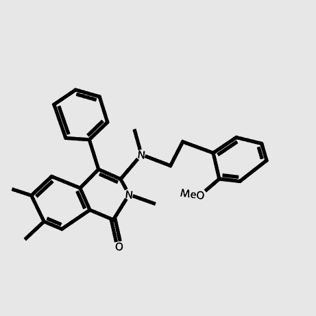 COc1ccccc1CCN(C)c1c(-c2ccccc2)c2cc(C)c(C)cc2c(=O)n1C